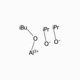 CC(C)[O-].CC(C)[O-].CCC(C)[O][Al+2]